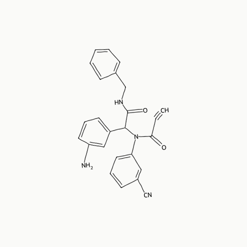 C#CC(=O)N(c1cccc(C#N)c1)C(C(=O)NCc1ccccc1)c1cccc(N)c1